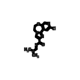 CN(C)/C=N/C(=O)c1cn2c(n1)-c1cc(Cl)ncc1OCC2